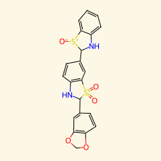 O=S1(=O)c2cc(C3Nc4ccccc4[S+]3[O-])ccc2NC1c1ccc2c(c1)OCO2